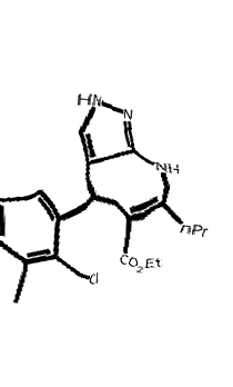 CCCC1=C(C(=O)OCC)C(c2cccc(C)c2Cl)c2c[nH]nc2N1